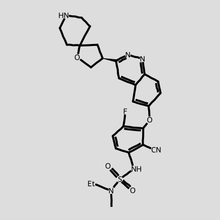 CCN(C)S(=O)(=O)Nc1ccc(F)c(Oc2ccc3nnc([C@H]4COC5(CCNCC5)C4)cc3c2)c1C#N